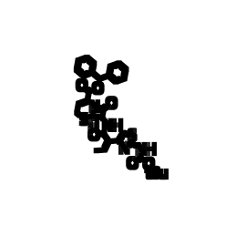 C/C=C(\C(=O)NC1C(=O)N2C(C(=O)OC(c3ccccc3)c3ccccc3)=CCS[C@@H]12)c1csc(NC(=O)OC(C)(C)C)n1